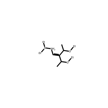 CCOC(C)C(=C[SiH2]N(CC)CC)C(C)OCC